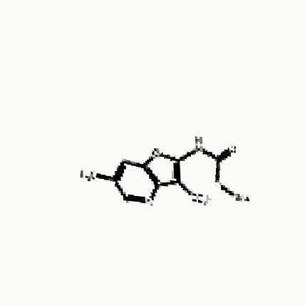 CC(C)(C)OC(=O)Nc1oc2cc(C(F)(F)F)cnc2c1C(=O)O